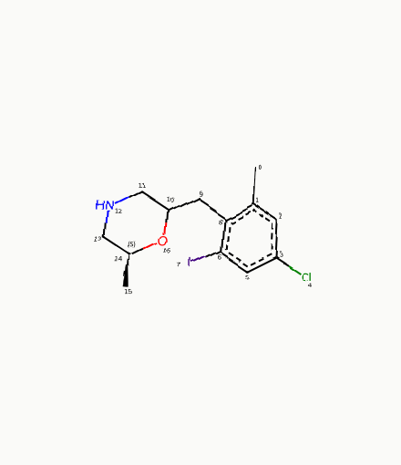 Cc1cc(Cl)cc(I)c1CC1CNC[C@H](C)O1